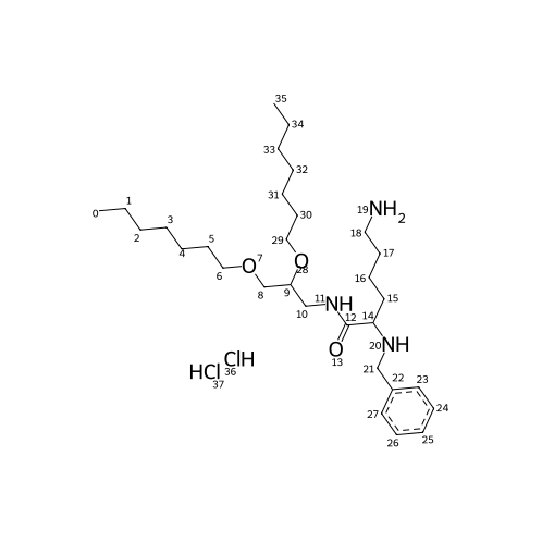 CCCCCCCOCC(CNC(=O)C(CCCCN)NCc1ccccc1)OCCCCCCC.Cl.Cl